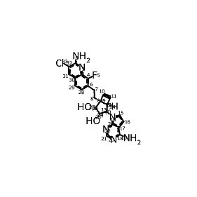 Nc1nc2c(F)c(CC[C@@]34C#C[C@@H]3[C@@H](n3ccc5c(N)ncnc53)[C@H](O)[C@@H]4O)ccc2cc1Cl